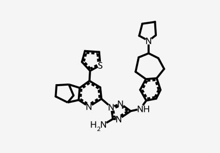 Nc1nc(Nc2ccc3c(c2)CCC(N2CCCC2)CC3)nn1-c1cc(-c2cccs2)c2c(n1)C1CCC2C1